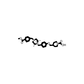 COC(=O)c1ccc(CN2C[C@@H](C)N(Cc3ccc(OCC4CCN(C(=O)O)CC4)cc3)[C@@H](C)C2)cc1